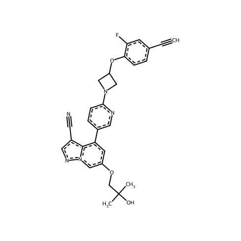 C#Cc1ccc(OC2CN(c3ccc(-c4cc(OCC(C)(C)O)cn5ncc(C#N)c45)cn3)C2)c(F)c1